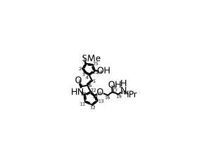 CSc1ccc(/C=C2\C(=O)Nc3cccc(OCC(O)CNC(C)C)c32)c(O)c1